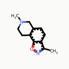 Cc1noc2c3c(ccc12)CN(C)CC3